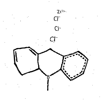 CB1c2ccccc2CC2=CC=CCC12.[Cl-].[Cl-].[Cl-].[Zr+3]